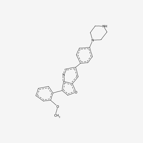 COc1ccccc1-c1coc2cc(-c3ccc(N4CCNCC4)cc3)cnc12